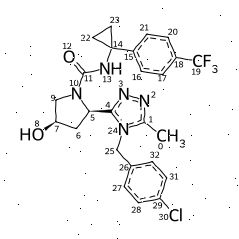 Cc1nnc([C@H]2C[C@@H](O)CN2C(=O)NC2(c3ccc(C(F)(F)F)cc3)CC2)n1Cc1ccc(Cl)cc1